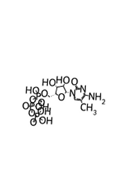 Cc1cn([C@@H]2O[C@H](COP(=O)(O)OP(=O)(O)OP(=O)(O)O)[C@H](O)C2O)c(=O)nc1N